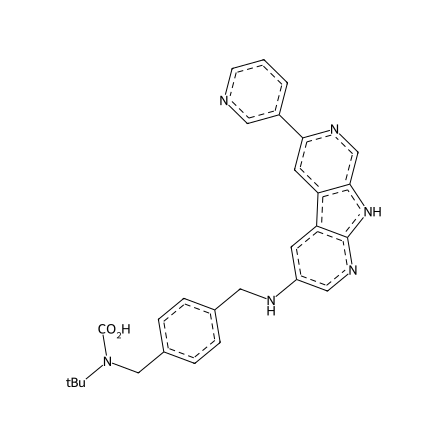 CC(C)(C)N(Cc1ccc(CNc2cnc3[nH]c4cnc(-c5cccnc5)cc4c3c2)cc1)C(=O)O